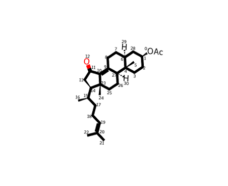 CC(=O)O[C@H]1CC[C@@]2(C)[C@@H](CCC3=C4C(=O)C[C@H]([C@H](C)CCC=C(C)C)[C@@]4(C)CC[C@@H]32)C1